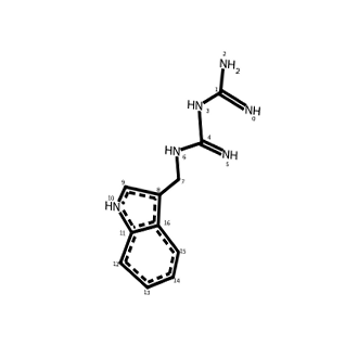 N=C(N)NC(=N)NCc1c[nH]c2ccccc12